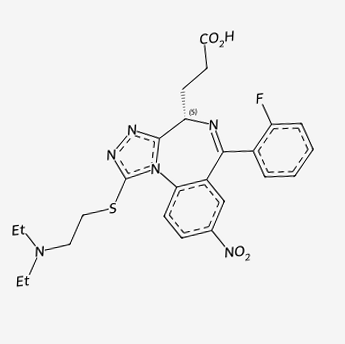 CCN(CC)CCSc1nnc2n1-c1ccc([N+](=O)[O-])cc1C(c1ccccc1F)=N[C@H]2CCC(=O)O